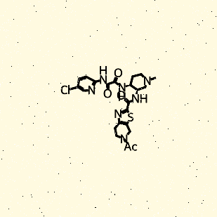 CC(=O)N1CCc2nc(C(=O)N[C@@H]3CN(C)CC[C@@H]3NC(=O)C(=O)Nc3ccc(Cl)cn3)sc2C1